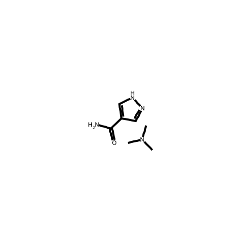 CN(C)C.NC(=O)c1cn[nH]c1